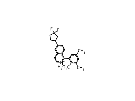 Cc1cc(C)c(C)c(-c2c3ccc(C4CCC(F)(F)C4)cc3cc[n+]2C)c1